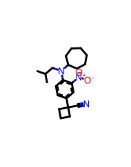 CC(C)CN(c1ccc(C2(C#N)CCC2)cc1[N+](=O)[O-])C1CCCCCC1